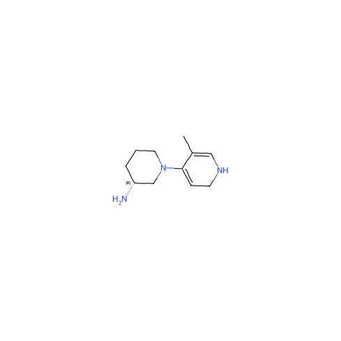 CC1=CNCC=C1N1CCC[C@@H](N)C1